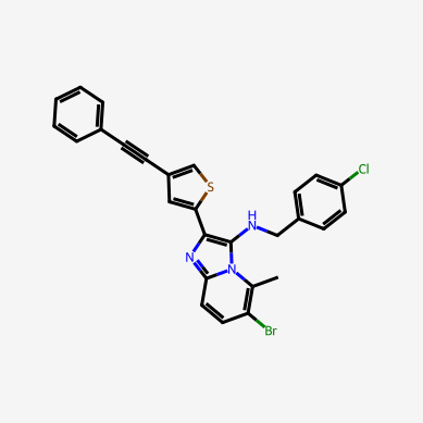 Cc1c(Br)ccc2nc(-c3cc(C#Cc4ccccc4)cs3)c(NCc3ccc(Cl)cc3)n12